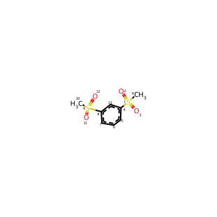 CS(=O)(=O)c1[c]ccc(S(C)(=O)=O)c1